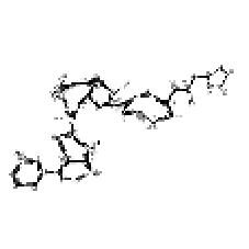 c1cncc(-c2ccnc3[nH]c(-c4n[nH]c5cnc(-c6cncc(CNCC7CCCC7)c6)cc45)cc23)c1